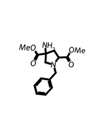 COC(=O)C1CC(N)(C(=O)OC)CN1Cc1ccccc1